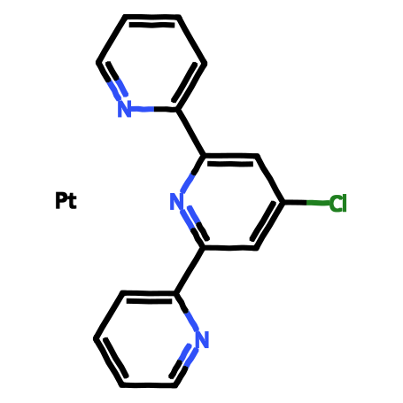 Clc1cc(-c2ccccn2)nc(-c2ccccn2)c1.[Pt]